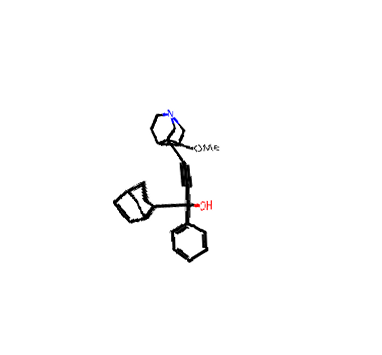 COC1(C#CC(O)(c2ccccc2)C2CC3C=CC2C3)CN2CCC1CC2